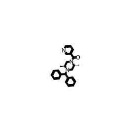 C[C@@H]1CN(C(c2ccccc2)c2ccccc2)[C@@H](C)CN1C(=O)c1cccnc1